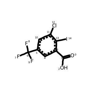 O=C(O)c1cc(C(F)(F)F)cc(Cl)c1I